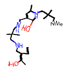 C=C/C(CNCC(C)(C)CNCC(=CC(C)NCC(C)(C)CNC)C(=C)O)=C(\C)O